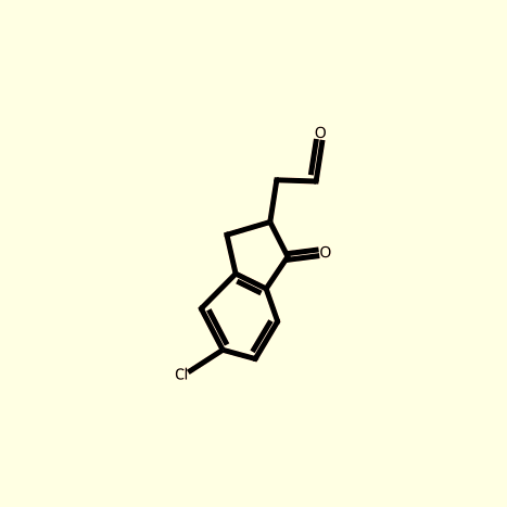 O=CCC1Cc2cc(Cl)ccc2C1=O